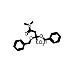 CN(C)C(=O)CC(OCc1ccccc1)(OCc1ccccc1)C(=O)O